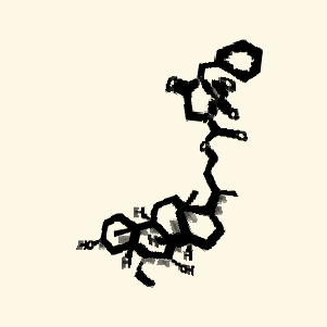 CC[C@H]1[C@@H](O)[C@@H]2[C@H](CC[C@]3(C)[C@@H]([C@H](C)CCOC(=O)N4CC(=O)N(Cc5ccccc5)S4(=O)=O)CC[C@@H]23)[C@@]2(C)CC[C@@H](O)C[C@@H]12